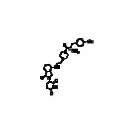 CC(C)(C)c1ccc(C[C@H](N)C(=O)N2CCN(CCNc3cccc4c3CN(C3CCC(=O)NC3=O)C4=O)CC2)cc1